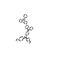 Fc1ccc(N(c2ccc(F)cc2)c2ccc(-n3c4ccccc4c4cc(-c5ccc6c(c5)c5ccccc5n6-c5ccccc5)ccc43)cc2)cc1